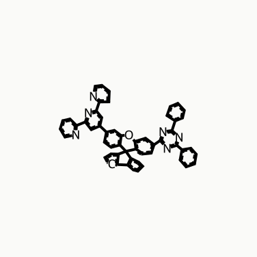 c1ccc(-c2nc(-c3ccccc3)nc(-c3ccc4c(c3)Oc3cc(-c5cc(-c6ccccn6)nc(-c6ccccn6)c5)ccc3C43c4ccccc4-c4ccccc43)n2)cc1